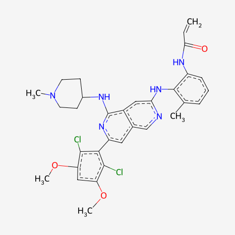 C=CC(=O)Nc1cccc(C)c1Nc1cc2c(NC3CCN(C)CC3)nc(-c3c(Cl)c(OC)cc(OC)c3Cl)cc2cn1